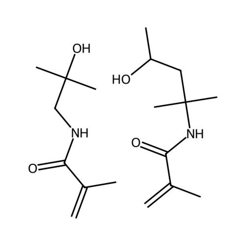 C=C(C)C(=O)NC(C)(C)CC(C)O.C=C(C)C(=O)NCC(C)(C)O